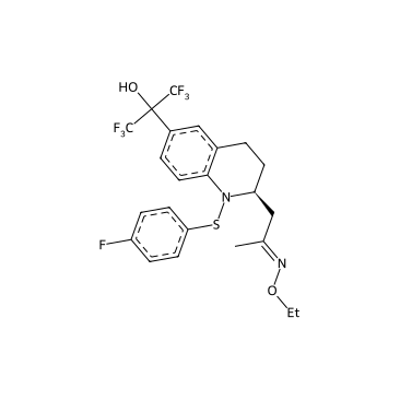 CCO/N=C(\C)C[C@@H]1CCc2cc(C(O)(C(F)(F)F)C(F)(F)F)ccc2N1Sc1ccc(F)cc1